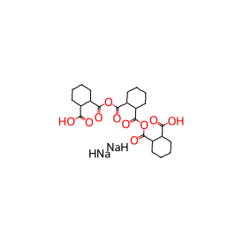 O=C(O)C1CCCCC1C(=O)OC(=O)C1CCCCC1C(=O)OC(=O)C1CCCCC1C(=O)O.[NaH].[NaH]